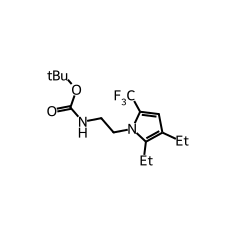 CCc1cc(C(F)(F)F)n(CCNC(=O)OC(C)(C)C)c1CC